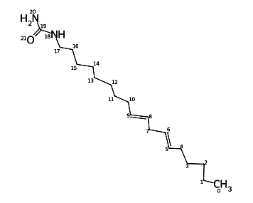 CCCCCC=CCC=CCCCCCCCCNC(N)=O